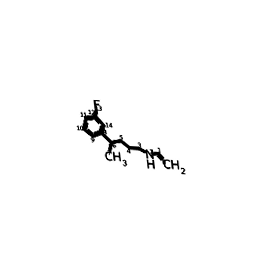 C=CNCCCC(C)c1cccc(F)c1